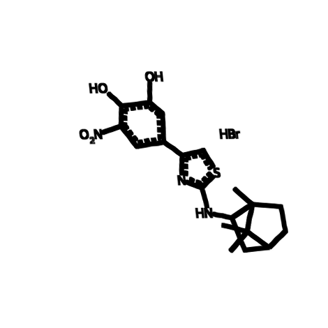 Br.CC1(C)C2CCC1(C)C(Nc1nc(-c3cc(O)c(O)c([N+](=O)[O-])c3)cs1)C2